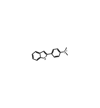 C[S+](C)c1ccc(-c2cc3ccccc3s2)cc1